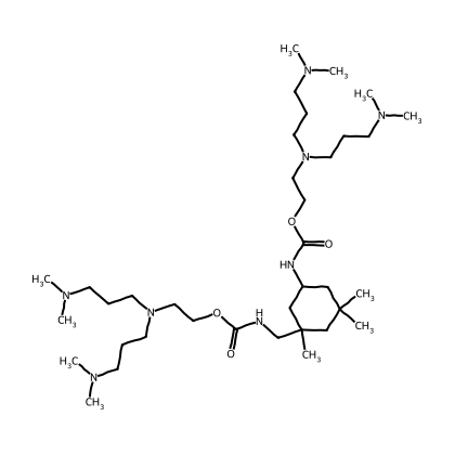 CN(C)CCCN(CCCN(C)C)CCOC(=O)NCC1(C)CC(NC(=O)OCCN(CCCN(C)C)CCCN(C)C)CC(C)(C)C1